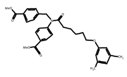 COC(=O)c1ccc(CN(C(=O)CCCCCOc2cc(C)cc(C)c2)c2ccc(C(=O)OC)cc2)cc1